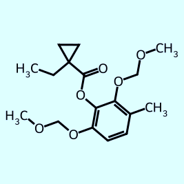 CCC1(C(=O)Oc2c(OCOC)ccc(C)c2OCOC)CC1